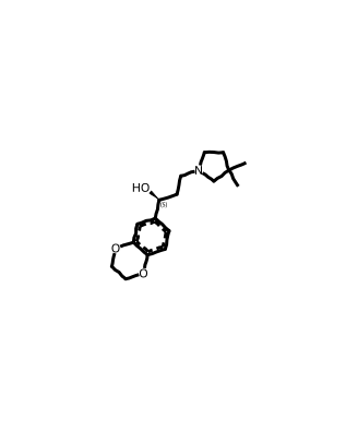 CC1(C)CCN(CC[C@H](O)c2ccc3c(c2)OCCO3)C1